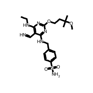 CCNc1nc(OCCC(C)(C)OC)nc(NCc2ccc(S(N)(=O)=O)cc2)c1C=N